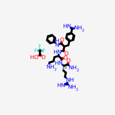 N=C(N)NCCC[C@H](NC(=O)C(CCCN)NC(=O)C(Cc1ccc(C(=N)N)cc1)C(=O)Nc1ccccc1)C(N)=O.O=C(O)C(F)(F)F